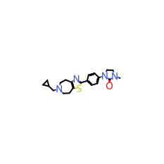 CN1CCN(c2ccc(-c3nc4c(s3)CCN(CC3CC3)CC4)cc2)C1=O